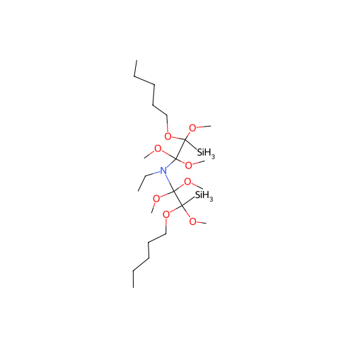 CCCCCOC([SiH3])(OC)C(OC)(OC)N(CC)C(OC)(OC)C([SiH3])(OC)OCCCCC